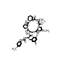 Cc1ccc(NC(=O)N[C@@H](Cc2cc(F)cc(F)c2)C(=O)N[C@H]2COC(=O)[C@@H]3C[C@H](C)CN3C(=O)[C@H](C)NC(=O)[C@@H]3CCCCN3C(=O)[C@@H]3CCCN3C2=O)cc1